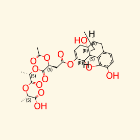 CC(=O)O[C@@H](CC(=O)OC1=CC[C@@]2(O)[C@H]3Cc4ccc(O)c5c4[C@@]2(CCC3C)[C@H]1O5)C(=O)O[C@@H](C)C(=O)O[C@@H](C)C(=O)O